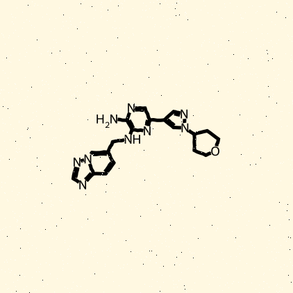 Nc1ncc(-c2cnn(C3CCOCC3)c2)nc1NCc1ccc2ncnn2c1